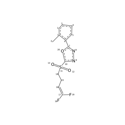 Cc1ccccc1-c1nnc(S(=O)(=O)CCC=C(F)F)o1